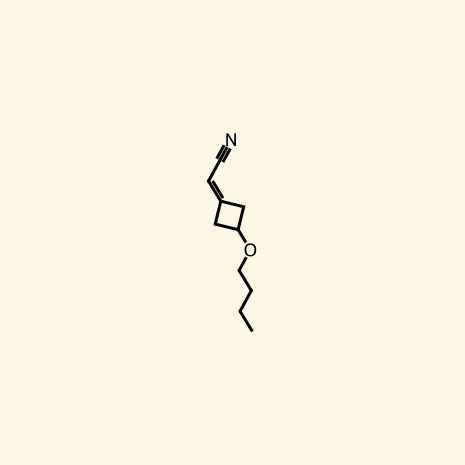 CCCCOC1CC(=CC#N)C1